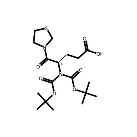 CC(C)(C)OC(=O)N(C(=O)OC(C)(C)C)[C@@H](CCC(=O)O)C(=O)N1CCSC1